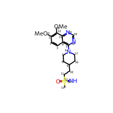 COc1ccc2c(N3CCC(CCS(C)(=N)=O)CC3)ncnc2c1OC